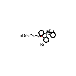 CCCCCCCCCCCCCCCc1ccccc1[P+](CCCC)(c1ccccc1)c1ccccc1.[Br-]